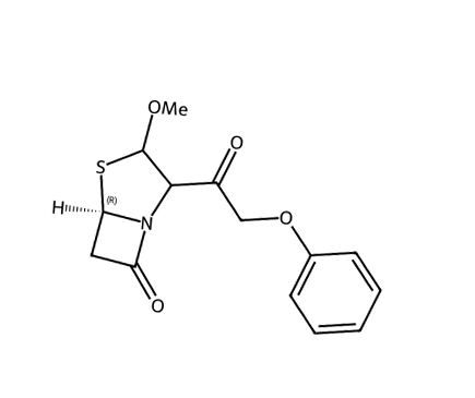 COC1S[C@@H]2CC(=O)N2C1C(=O)COc1ccccc1